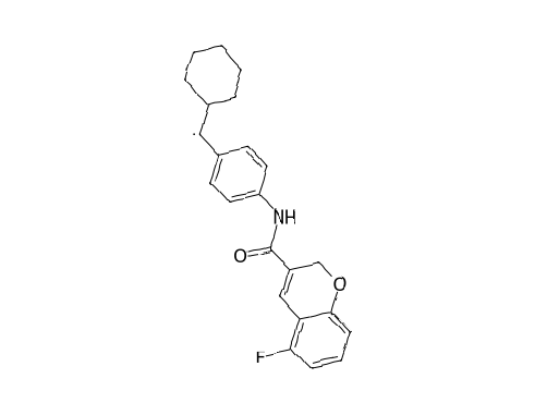 O=C(Nc1ccc([CH]C2CCCCC2)cc1)C1=Cc2c(F)cccc2OC1